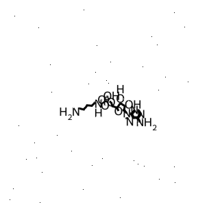 NCCCCCNOP(=O)(O)OCC1OC(n2cnc3c(N)ncnc32)C(O)C1O